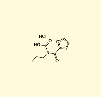 CCCN(C(=O)O)C(=O)c1ccco1.Cl